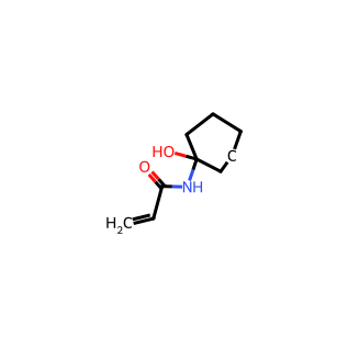 C=CC(=O)NC1(O)CCCCC1